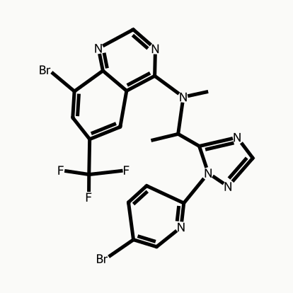 CC(c1ncnn1-c1ccc(Br)cn1)N(C)c1ncnc2c(Br)cc(C(F)(F)F)cc12